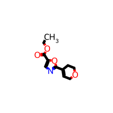 CCOC(=O)c1cnc(C2=CCOCC2)o1